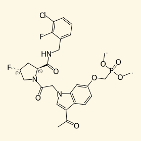 [CH2]OP(=O)(COc1ccc2c(C(C)=O)cn(CC(=O)N3C[C@H](F)C[C@H]3C(=O)NCc3cccc(Cl)c3F)c2c1)O[CH2]